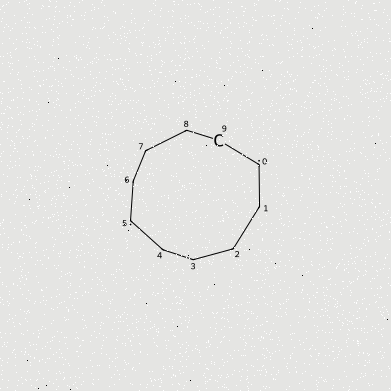 [CH]1CCCC[CH]CCCC1